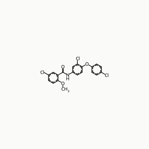 COc1ccc(Cl)cc1C(=O)Nc1ccc(Oc2ccc(Cl)cc2)c(Cl)c1